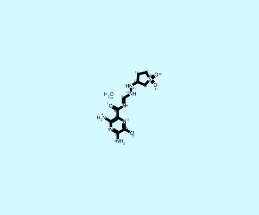 Nc1nc(N)c(C(=O)N=CNNC2CCS(=O)(=O)C2)nc1Cl.O